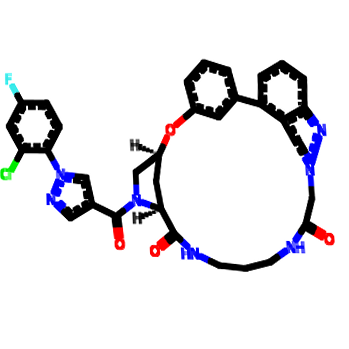 O=C1Cn2cc3c(cccc3n2)-c2cccc(c2)O[C@H]2C[C@@H](C(=O)NCCCN1)N(C(=O)c1cnn(-c3ccc(F)cc3Cl)c1)C2